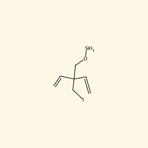 C=CC(C=C)(CI)CO[SiH3]